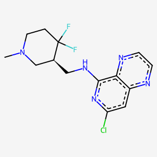 CN1CCC(F)(F)[C@@H](CNc2nc(Cl)cc3nccnc23)C1